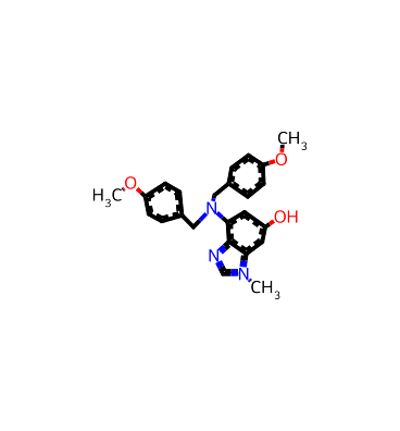 COc1ccc(CN(Cc2ccc(OC)cc2)c2cc(O)cc3c2ncn3C)cc1